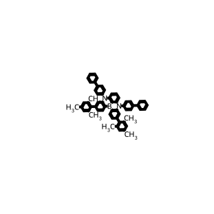 Cc1cc(C)c(-c2ccc3c(c2)N(c2ccc(-c4ccccc4)cc2)c2cccc4c2B3c2ccc(-c3c(C)cc(C)cc3C)cc2N4c2ccc(-c3ccccc3)cc2)c(C)c1